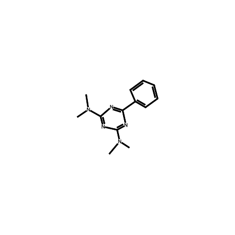 CN(C)c1nc(-c2ccccc2)nc(N(C)C)n1